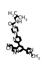 C/N=C\c1cnn2cc(-c3cnn(C)c3)cc(-c3ccc(N4CCN(C(=O)NCC(C)C)CC4)nc3)c12